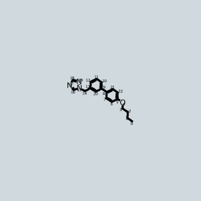 CCCCOc1ccc(-c2cccc(Cn3cncn3)c2)cc1